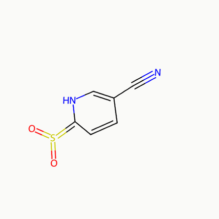 N#Cc1ccc(=S(=O)=O)[nH]c1